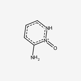 Nc1ccc[nH][n+]1=O